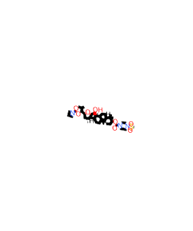 CC(C)[C@@H](OC(=O)N1CCC1)C1C[C@@H](C)[C@H]2C(O1)[C@H](O)[C@@]1(C)C3CC[C@H]4C(C)(C)[C@@H](OC(=O)N5CCN(S(C)(=O)=O)CC5)CC[C@@]45CC35CC[C@]21C